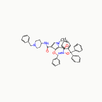 Cn1cc(C(=O)NC2CCN(Cc3ccccc3)CC2)c(OCc2ccccc2)c1C(=O)NOC(c1ccccc1)(c1ccccc1)c1ccccc1